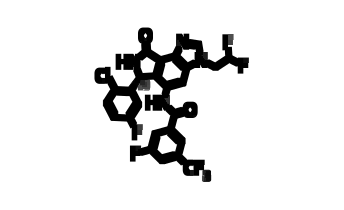 O=C(Nc1cc2c(ncn2CC(F)F)c2c1[C@@H](c1cc(F)ccc1Cl)NC2=O)c1cc(F)cc(C(F)(F)F)c1